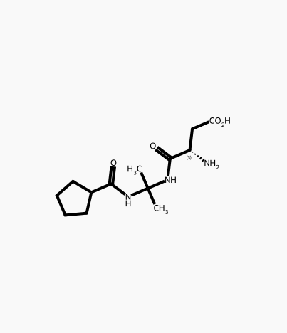 CC(C)(NC(=O)C1CCCC1)NC(=O)[C@@H](N)CC(=O)O